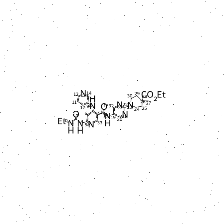 CCNC(=O)Nc1cc(Nc2cccnc2)c(C(=O)Nc2cnc(N3CCC(C)(C(=O)OCC)CC3)nc2)cn1